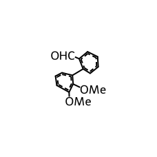 COc1cccc(-c2ccccc2C=O)c1OC